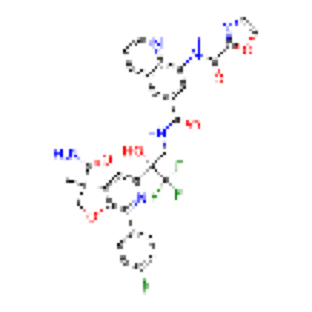 C[C@]1(C(N)=O)COc2c1cc([C@@](O)(CNC(=O)c1cc(NC(=O)c3ncco3)c3ncccc3c1)C(F)(F)F)nc2-c1ccc(F)cc1